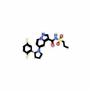 CCCS(=O)(=O)NC(=O)c1cnn2ccc(N3CCC[C@@H]3c3cc(F)ccc3F)cc12